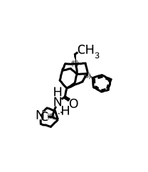 CC[C@]12CC3CC4(C(=O)N[C@@H]5CN6CCC5CC6)CC1(C3)[C@](c1ccccc1)(C4)C2